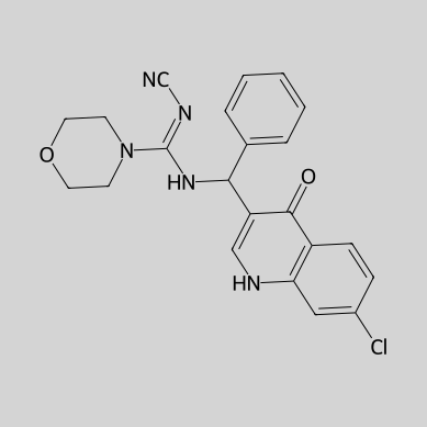 N#CN=C(NC(c1ccccc1)c1c[nH]c2cc(Cl)ccc2c1=O)N1CCOCC1